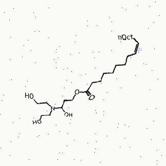 CCCCCCCC/C=C\CCCCCCCC(=O)OCCC(O)N(CCO)CCO